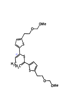 C=C(S/C(=C\C)c1ccc(CCOCOC)s1)c1ccc(CCOCOC)s1